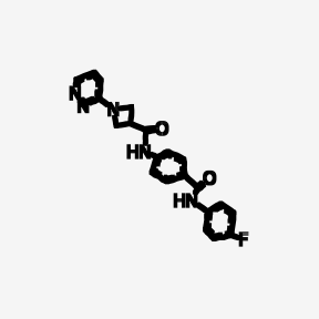 O=C(Nc1ccc(F)cc1)c1ccc(NC(=O)C2CN(c3cccnn3)C2)cc1